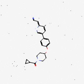 COC1=CC(c2ccc(OC3CCN(C(=O)C4CC4)CC3)cc2)=CN/C1=C\C=N